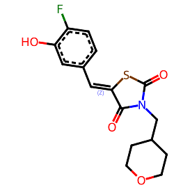 O=C1S/C(=C\c2ccc(F)c(O)c2)C(=O)N1CC1CCOCC1